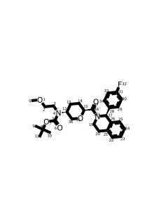 COCCN(C(=O)OC(C)(C)C)[C@@H]1CC[C@@H](C(=O)N2CCc3ccccc3[C@@H]2c2ccc(F)cc2)OC1